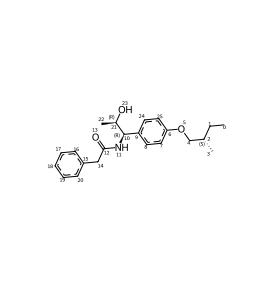 CC[C@H](C)COc1ccc([C@@H](NC(=O)Cc2ccccc2)[C@@H](C)O)cc1